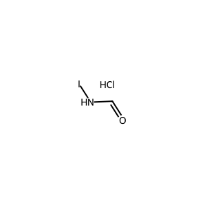 Cl.O=CNI